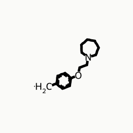 [CH2]c1ccc(OCCN2CCCCCC2)cc1